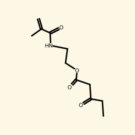 C=C(C)C(=O)NCCOC(=O)CC(=O)CC